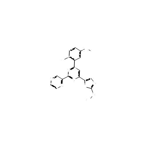 CCCNc1ncc(-c2cc(-c3cc(OCCC)ccc3Br)nc(-c3cnccn3)n2)s1